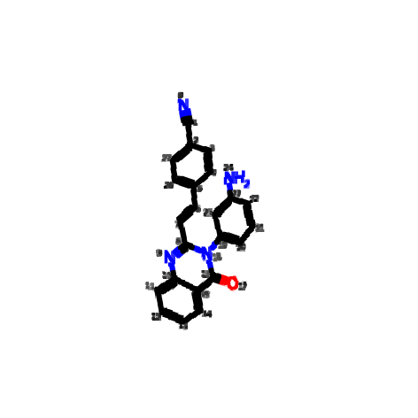 N#Cc1ccc(/C=C/c2nc3ccccc3c(=O)n2-c2cccc(N)c2)cc1